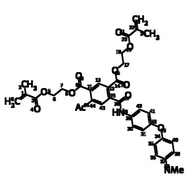 C=C(C)C(=O)OCCOC(=O)c1cc(C(=O)OCCOC(=O)C(=C)C)c(C(=O)Nc2ccc(Oc3ccc(NC)cc3)cc2)cc1C(C)=O